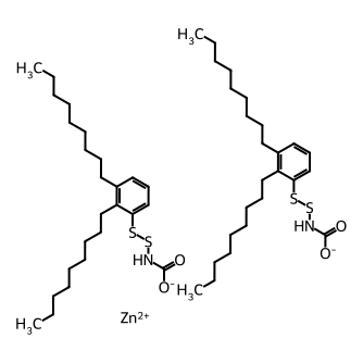 CCCCCCCCCc1cccc(SSNC(=O)[O-])c1CCCCCCCCC.CCCCCCCCCc1cccc(SSNC(=O)[O-])c1CCCCCCCCC.[Zn+2]